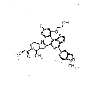 C=CC(=O)N1CCn2nc(-c3nc(-c4ccc5c(cnn5C)c4)c4ccsc4c3-c3c(F)cc(F)cc3OCCO)cc2C1C